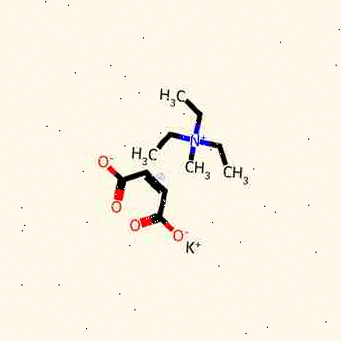 CC[N+](C)(CC)CC.O=C([O-])/C=C\C(=O)[O-].[K+]